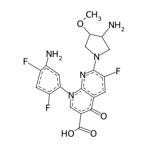 COC1CN(c2nc3c(cc2F)c(=O)c(C(=O)O)cn3-c2cc(N)c(F)cc2F)CC1N